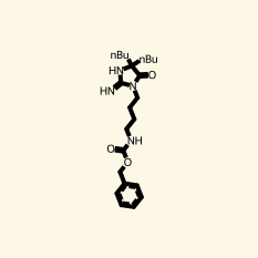 CCCCC1(CCCC)NC(=N)N(CCCCNC(=O)OCc2ccccc2)C1=O